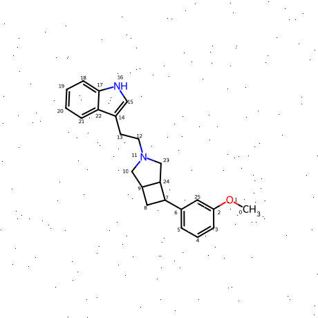 COc1cccc(C2CC3CN(CCc4c[nH]c5ccccc45)CC32)c1